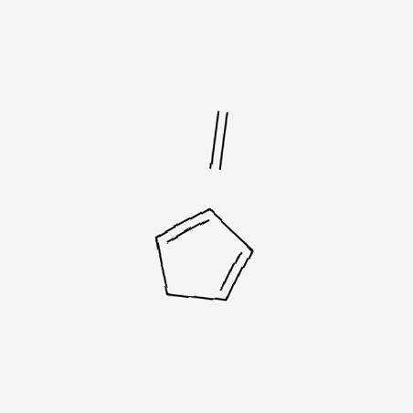 C1=CCC=C1.C=C